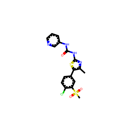 Cc1nc(NC(=O)Nc2cccnc2)sc1-c1ccc(Cl)c(S(C)(=O)=O)c1